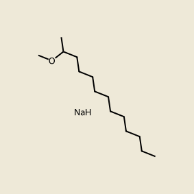 CCCCCCCCCCCC(C)OC.[NaH]